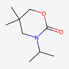 CC(C)N1CC(C)(C)COC1=O